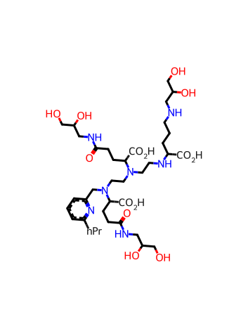 CCCc1cccc(CN(CCN(CCNC(CCCNCC(O)CO)C(=O)O)C(CCC(=O)NCC(O)CO)C(=O)O)C(CCC(=O)NCC(O)CO)C(=O)O)n1